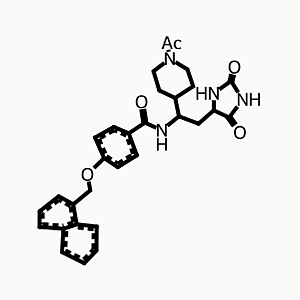 CC(=O)N1CCC(C(CC2NC(=O)NC2=O)NC(=O)c2ccc(OCc3cccc4ccccc34)cc2)CC1